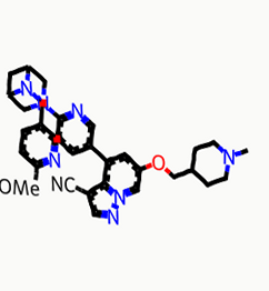 COc1ccc(CN2C3CC2CN(c2ccc(-c4cc(OCC5CCN(C)CC5)cn5ncc(C#N)c45)cn2)C3)cn1